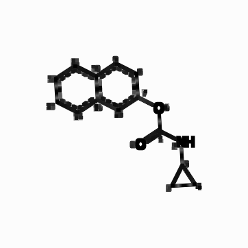 O=C(NC1CC1)Oc1ccc2ccccc2c1